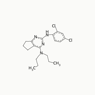 CCCN(CCC)c1nc(Nc2ccc(Cl)cc2Cl)nc2c1CCC2